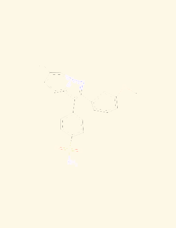 CCOc1cccc(-c2nn3cc(C)ccc3c2-c2ccc(S(N)(=O)=O)cc2)c1